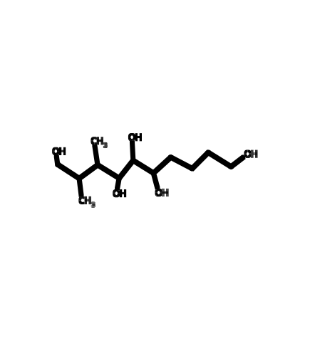 CC(CO)C(C)C(O)C(O)C(O)CCCCO